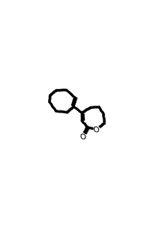 O=C1C=C(C2=CCCCCCC2)CCCCO1